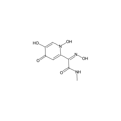 CNC(=O)C(=NO)c1cc(=O)c(O)cn1O